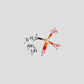 O=P(O)(O)[SiH3].[AlH3].[LiH].[Ti]